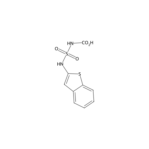 O=C(O)NS(=O)(=O)Nc1cc2ccccc2s1